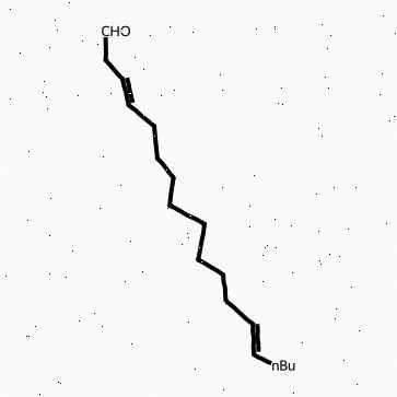 CCCCC=CCCCCCCCCC=CCC=O